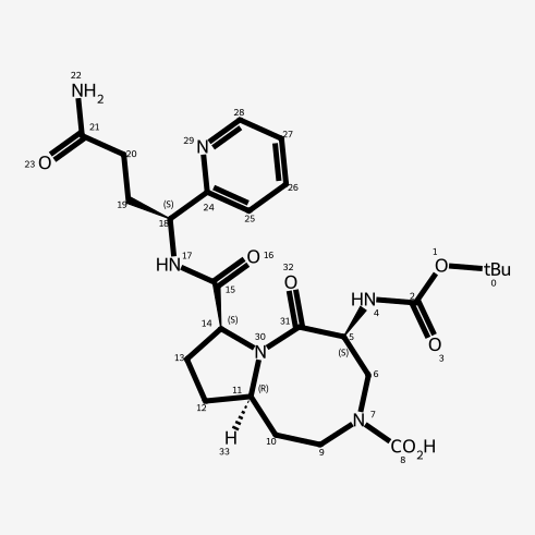 CC(C)(C)OC(=O)N[C@H]1CN(C(=O)O)CC[C@H]2CC[C@@H](C(=O)N[C@@H](CCC(N)=O)c3ccccn3)N2C1=O